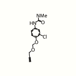 C#CCOCOc1ccc(NC(=O)NC)cc1Cl